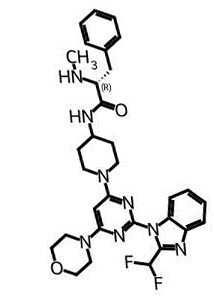 CN[C@H](Cc1ccccc1)C(=O)NC1CCN(c2cc(N3CCOCC3)nc(-n3c(C(F)F)nc4ccccc43)n2)CC1